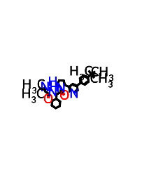 CNC(C)C(=O)NC(C(=O)N1CCCC1c1cncc(-c2ccc(C(C)(C)C)cc2)c1)C1CCCCC1